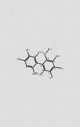 Oc1cc(F)c(F)c(F)c1-c1c(F)c(F)c(F)c(F)c1OF